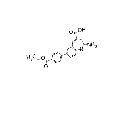 CCOC(=O)c1ccc(-c2ccc3c(c2)C=C(C(=O)O)CC(N)=N3)cc1